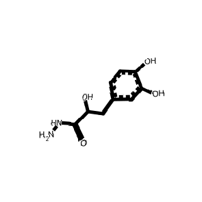 NNC(=O)C(O)Cc1ccc(O)c(O)c1